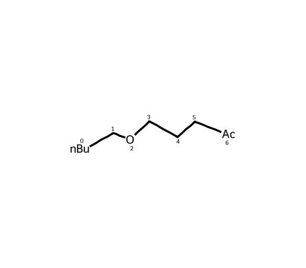 CCCCCOCCCC(C)=O